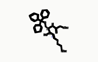 CCCCCCCCCCCCC/C=C/[C@@H](O)[C@H](COC(c1ccccc1)(c1ccccc1)c1ccccc1)NC(=O)CCCCCCCCCCC